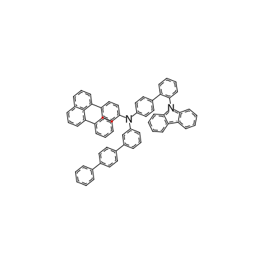 c1ccc(-c2ccc(-c3cccc(N(c4ccc(-c5ccccc5-n5c6ccccc6c6ccccc65)cc4)c4ccc(-c5cccc6cccc(-c7ccccc7)c56)cc4)c3)cc2)cc1